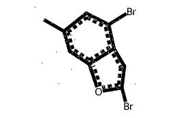 Cc1cc(Br)c2cc(Br)oc2c1